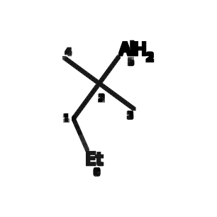 CCC[C](C)(C)[AlH2]